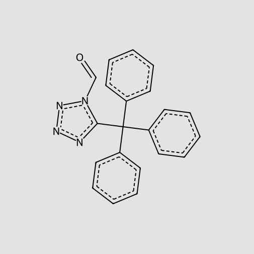 O=Cn1nnnc1C(c1ccccc1)(c1ccccc1)c1ccccc1